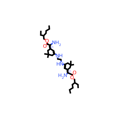 CCCCC(CC)COC(=O)/C(N)=C1/C=C(NCCNC2=C/C(=C(\N)C(=O)OCC(CC)CCCC)CC(C)(C)C2)CC(C)(C)C1